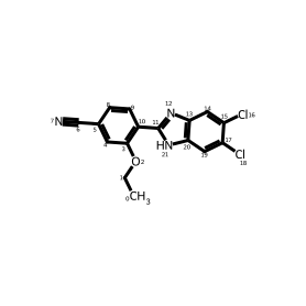 CCOc1cc(C#N)ccc1-c1nc2cc(Cl)c(Cl)cc2[nH]1